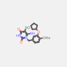 COc1ccc(Cn2c(N)c(N=O)c(=O)[nH]c2=O)cc1OC1CCCC1